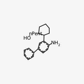 CCCCCO.Nc1ccc(-c2ccccc2)cc1C1CCCCC1